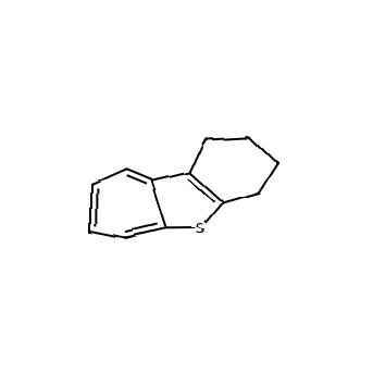 c1ccc2c3c(sc2c1)CCCC3